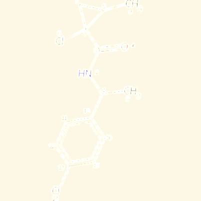 CC(NC(=O)C1(Cl)CC1C)c1ccc(Cl)cc1